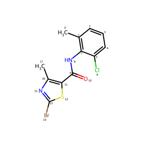 Cc1cccc(Cl)c1NC(=O)c1sc(Br)nc1C